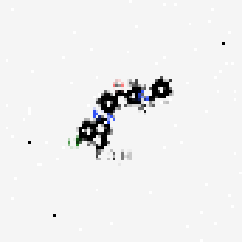 O=C(O)CCCCc1nc2cc(C(=O)C3C[C@@H]4C[C@H]3CN4Cc3ccccc3)ccc2nc1-c1ccc(Cl)cc1